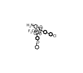 NC1CCN(C(=O)[C@@H](NC(=O)[C@H](OC(=O)C(F)(F)F)c2ccc(OCC3CCCCC3)cc2)C(F)(F)c2ccc(-c3ccc(Cl)cc3)cc2)CC1